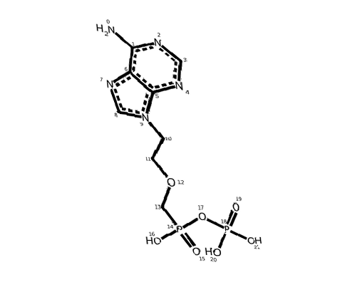 Nc1ncnc2c1ncn2CCOCP(=O)(O)OP(=O)(O)O